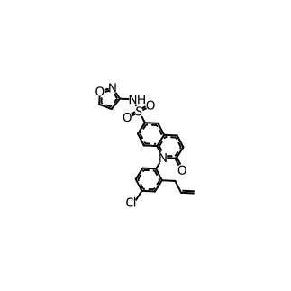 C=CCc1cc(Cl)ccc1-n1c(=O)ccc2cc(S(=O)(=O)Nc3ccon3)ccc21